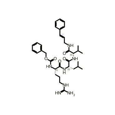 CC(C)C[C@H](NC(=O)[C@H](CCCNC(=N)N)NC(=O)OCc1ccccc1)C(=O)N[C@H](C(=O)NC/C=C/c1ccccc1)C(C)C